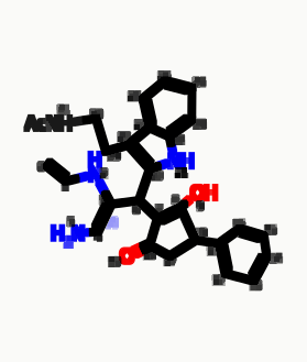 C=CN/C(=C\N)C(C1=C(O)C(c2ccccc2)CC1=O)c1[nH]c2ccccc2c1CCNC(C)=O